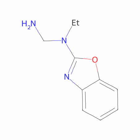 CCN(CN)c1nc2ccccc2o1